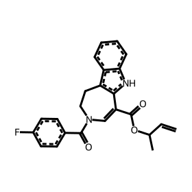 C=CC(C)OC(=O)C1=CN(C(=O)c2ccc(F)cc2)CCc2c1[nH]c1ccccc21